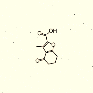 Cc1c(C(=O)O)oc2c1C(=O)CCC2